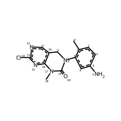 Cc1ccc(N)cc1N1Cc2cnc(Cl)nc2N(C)C1=O